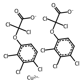 O=C([O-])C(Cl)(Cl)Oc1ccc(Cl)c(Cl)c1Cl.O=C([O-])C(Cl)(Cl)Oc1ccc(Cl)c(Cl)c1Cl.[Cu+2]